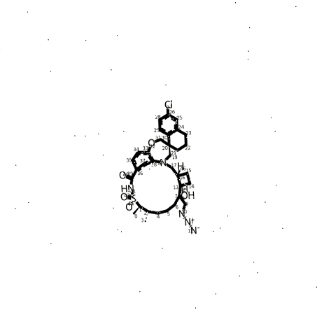 C[C@@H]1[C@@H](C)CCC[C@](O)(CN=[N+]=[N-])[C@@H]2CC[C@H]2CN2C[C@@]3(CCCc4cc(Cl)ccc43)COc3ccc(cc32)C(=O)NS1(=O)=O